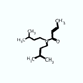 C/C=C/C(=O)N(CCC(C)C)CCC(C)C